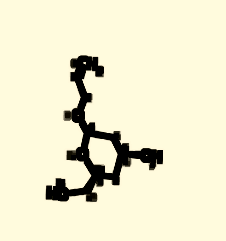 C=CCOC1C[C@@H](O)C[C@@H](CO)O1